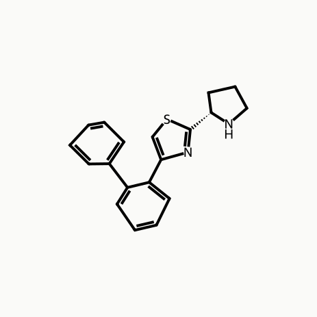 c1ccc(-c2ccccc2-c2csc([C@@H]3CCCN3)n2)cc1